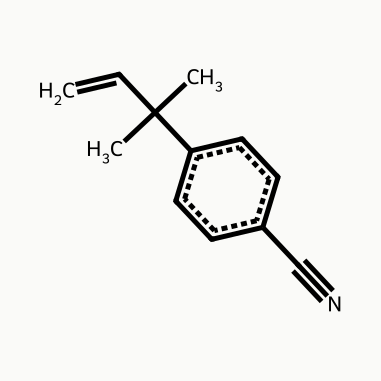 C=CC(C)(C)c1ccc(C#N)cc1